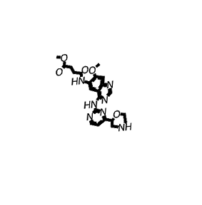 COC(=O)CCC(=O)Nc1cc2c(Nc3nccc(C4CNCCO4)n3)ncnc2cc1OC